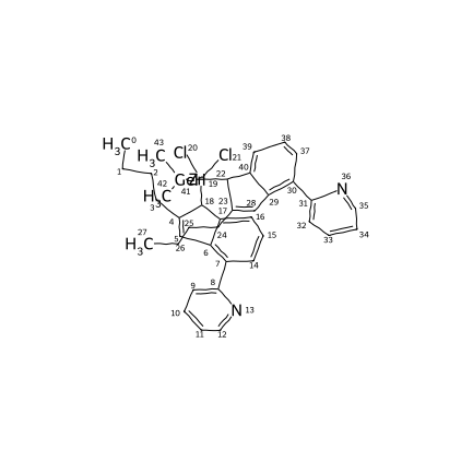 CCCCC1=Cc2c(-c3ccccn3)cccc2[CH]1[Zr]([Cl])([Cl])([CH]1C(CCCC)=Cc2c(-c3ccccn3)cccc21)[GeH]([CH3])[CH3]